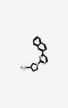 NC1CCN(c2nccc(-c3ccc4ccccc4c3)n2)C1